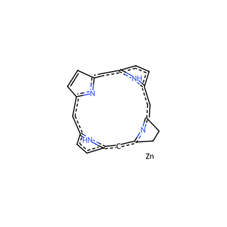 C1=Cc2cc3ccc(cc4nc(cc5ccc(cc1n2)[nH]5)CC4)[nH]3.[Zn]